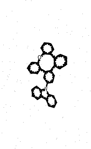 c1ccc2c(c1)oc1ccccc1c1cc(-n3c4ccccc4c4ccccc43)ccc1c1ccccc21